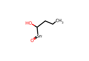 CCC[CH](O)[Sn]=[O]